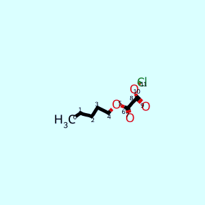 CCCCCOC(=O)C(=O)OCl